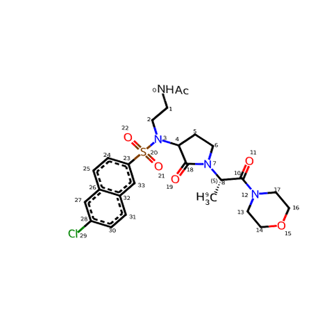 CC(=O)NCCN(C1CCN([C@@H](C)C(=O)N2CCOCC2)C1=O)S(=O)(=O)c1ccc2cc(Cl)ccc2c1